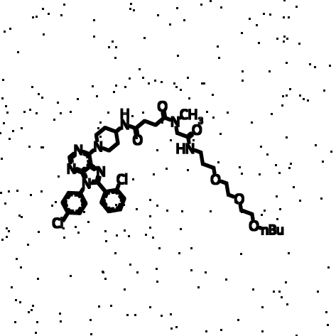 CCCCOCCOCCOCCCNC(=O)CN(C)C(=O)CCC(=O)NC1CCN(c2ncnc3c2nc(-c2ccccc2Cl)n3-c2ccc(Cl)cc2)CC1